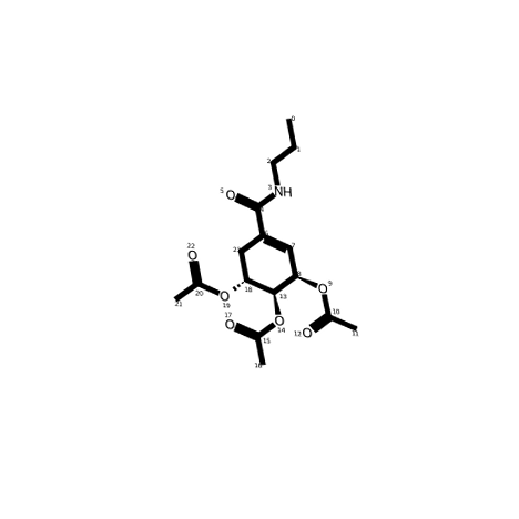 CCCNC(=O)C1=C[C@@H](OC(C)=O)[C@@H](OC(C)=O)[C@H](OC(C)=O)C1